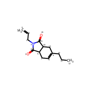 C=CCN1C(=O)C2CC=C(CCC)CC2C1=O